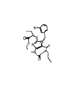 CCCn1c(=O)c2c(nc(SC(CC)C(=O)OCC)n2Cc2cccc(Br)c2)n(C)c1=O